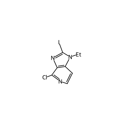 CCn1c(I)nc2c(Cl)nccc21